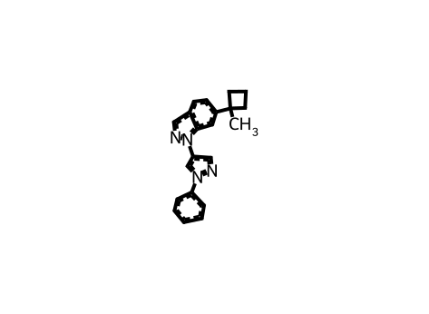 CC1(c2ccc3cnn(-c4cnn(-c5ccccc5)c4)c3c2)CCC1